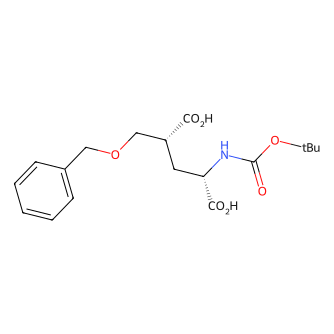 CC(C)(C)OC(=O)N[C@@H](C[C@H](COCc1ccccc1)C(=O)O)C(=O)O